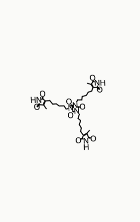 CC1=C(CCCCCCn2c(=O)n(CCCCCCC3=C(C)C(=O)NC3=O)c(=O)n(CCCCCCC3=C(C)C(=O)NC3=O)c2=O)C(=O)NC1=O